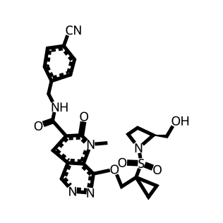 Cn1c(=O)c(C(=O)NCc2ccc(C#N)cc2)cc2cnnc(OCC3(S(=O)(=O)N4CC[C@H]4CO)CC3)c21